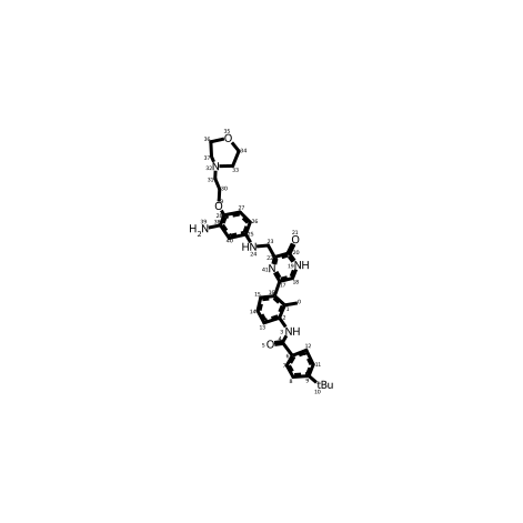 Cc1c(NC(=O)c2ccc(C(C)(C)C)cc2)cccc1-c1c[nH]c(=O)c(CNc2ccc(OCCN3CCOCC3)c(N)c2)n1